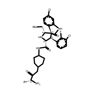 CC(C)[C@@H](N)C(=O)CC1CCC(NC(=O)[C@@H]2N[C@H](CC(C)(C)C)[C@]3(C(=O)Nc4cc(Cl)ccc43)[C@H]2c2cccc(Cl)c2F)CC1